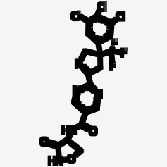 O=C(NC1CONC1=O)c1cnc(C2=NCC(c3cc(Cl)c(Cl)c(Cl)c3)(C(F)(F)F)C2)nc1